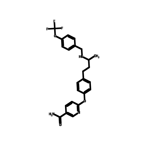 CC(CCc1ccc(Oc2ccc(C(N)=O)cn2)cc1)NCc1ccc(OC(F)(F)F)cc1